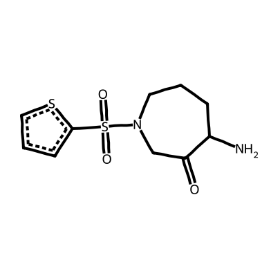 NC1CCCN(S(=O)(=O)c2cccs2)CC1=O